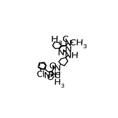 Cc1onc(-c2ccccc2Cl)c1C(=O)NC1CCC(Nc2nc3c(c(N(C)C)n2)CCCC3)CC1